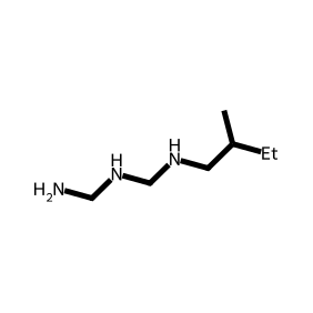 CCC(C)CNCNCN